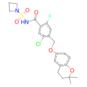 CC1(C)CCc2cc(OCc3cc(F)c(C(=O)NS(=O)(=O)N4CCC4)cc3Cl)ccc2O1